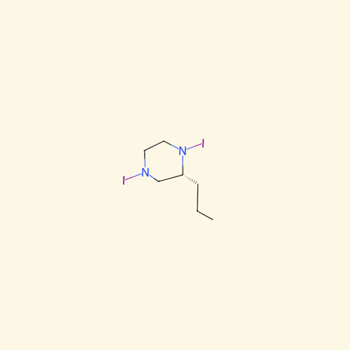 CCC[C@@H]1CN(I)CCN1I